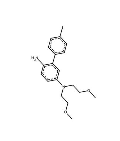 COCCN(CCOC)c1ccc(N)c(-c2ccc(I)cc2)c1